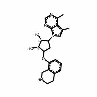 Cc1ncnc2c1c(F)cn2C1CC(Oc2cccc3c2CNCC3)[C@@H](O)[C@H]1O